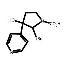 CC(C)(C)C1N(C(=O)O)CCC1(O)c1ccncc1